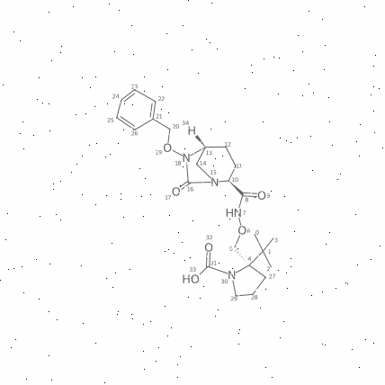 CC(C)(C)[C@@]1(CONC(=O)[C@@H]2CC[C@@H]3CN2C(=O)N3OCc2ccccc2)CCCN1C(=O)O